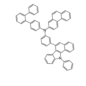 c1ccc(-c2ccccc2-c2ccc(N(c3cccc(-c4cc5ccccc5c5c4c4ccccc4n5-c4ccccc4)c3)c3ccc4c(ccc5ccccc54)c3)cc2)cc1